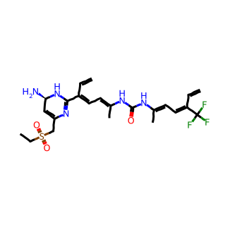 C=C/C(=C\C=C(/C)NC(=O)N/C(C)=C/C=C(\C=C)C(F)(F)F)C1=NC(CS(=O)(=O)CC)=C[C@@H](N)N1